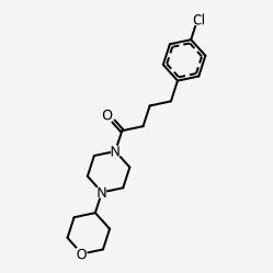 O=C(CCCc1ccc(Cl)cc1)N1CCN(C2CCOCC2)CC1